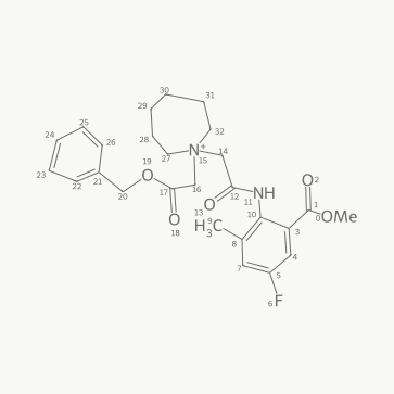 COC(=O)c1cc(F)cc(C)c1NC(=O)C[N+]1(CC(=O)OCc2ccccc2)CCCCCC1